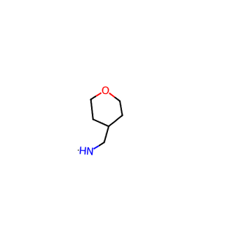 [NH]CC1CCOCC1